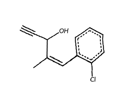 C#CC(O)C(C)=Cc1ccccc1Cl